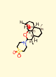 C[C@@H]1CC[C@H]2[C@@H](C)C(N3CCS(=O)(=O)CC3)O[C@@H]3O[C@H]4CC[C@@H]1[C@]32OO4